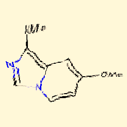 CNc1ncn2ccc(OC)cc12